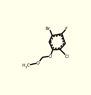 COCOc1cc(Br)c(F)cc1Cl